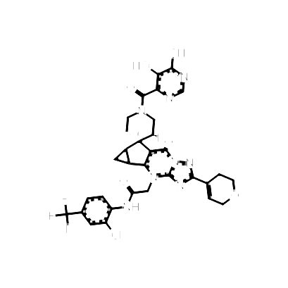 Cc1ncnc(C(=O)N2CC[C@@]3(c4c(n(CC(=O)Nc5ccc(C(F)(F)F)cc5Cl)c5nc(C6=CCOCC6)nn5c4=O)C4CC43)[C@H](F)C2)c1O